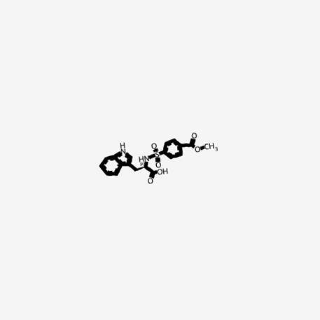 COC(=O)c1ccc(S(=O)(=O)N[C@H](Cc2c[nH]c3ccccc23)C(=O)O)cc1